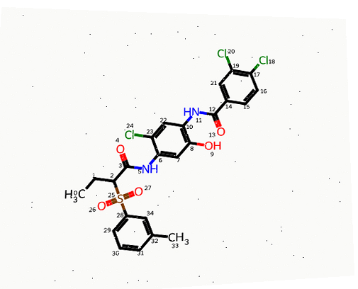 CCC(C(=O)Nc1cc(O)c(NC(=O)c2ccc(Cl)c(Cl)c2)cc1Cl)S(=O)(=O)c1cccc(C)c1